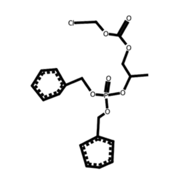 CC(COC(=O)OCCl)OP(=O)(OCc1ccccc1)OCc1ccccc1